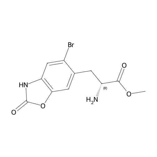 COC(=O)[C@H](N)Cc1cc2oc(=O)[nH]c2cc1Br